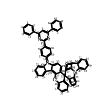 c1ccc(-c2cc(-c3ccccc3)nc(-c3ccc(-n4c5ccccc5c5c6c(ccc54)C4(c5ccccc5O6)c5ccccc5-n5c6ccccc6c6cccc4c65)cc3)n2)cc1